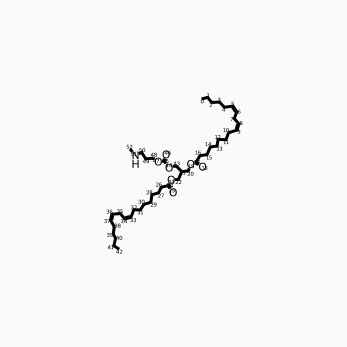 CCCCC/C=C\C/C=C\CCCCCCCC(=O)OCC(COC(=O)CCCCCCC/C=C\C/C=C\CCCCC)COC(=O)OCCCNC